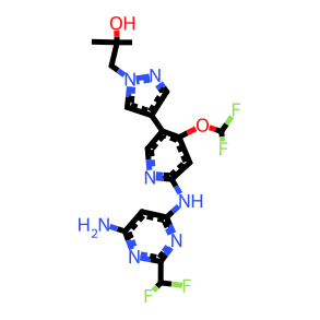 CC(C)(O)Cn1cc(-c2cnc(Nc3cc(N)nc(C(F)F)n3)cc2OC(F)F)cn1